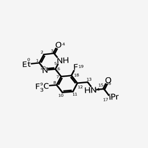 CCc1cc(=O)[nH]c(-c2c(C(F)(F)F)ccc(CNC(=O)C(C)C)c2F)n1